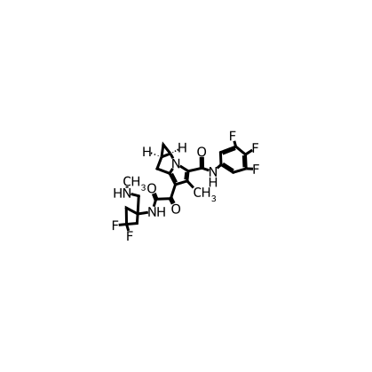 CNCC1(NC(=O)C(=O)c2c(C)c(C(=O)Nc3cc(F)c(F)c(F)c3)n3c2C[C@H]2C[C@H]23)CC(F)(F)C1